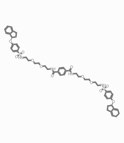 O=C(NCCOCCOCCNS(=O)(=O)c1ccc(O[C@@H]2CCC3=CCCC=C32)cc1)c1ccc(C(=O)NCCOCCOCCNS(=O)(=O)c2ccc(O[C@@H]3CCc4ccccc43)cc2)cc1